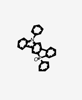 O=P1(c2ccccc2)c2ccccc2-c2cc3c(cc21)c1ccccc1n3-c1ccccc1